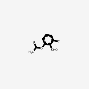 CC(F)Oc1cccc(Cl)c1C=O